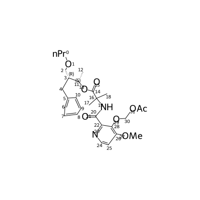 CCCOC[C@@H](Cc1ccccc1)[C@H](C)OC(=O)C(C)(C)NC(=O)c1nccc(OC)c1OCOC(C)=O